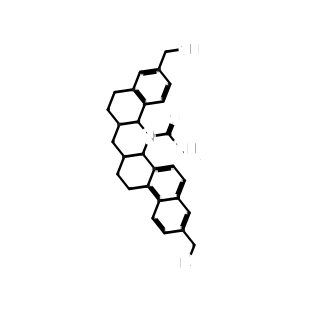 NC(=O)N1C2c3ccc(CS)cc3CCC2CC2CCc3c(ccc4cc(CS)ccc34)C21